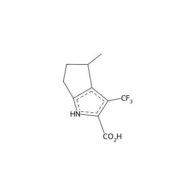 CC1CCc2[nH]c(C(=O)O)c(C(F)(F)F)c21